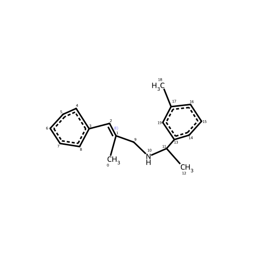 C/C(=C\c1ccccc1)CNC(C)c1cccc(C)c1